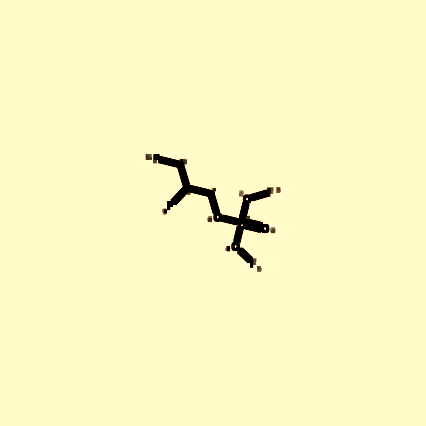 O=P(OF)(OF)OCC(F)CF